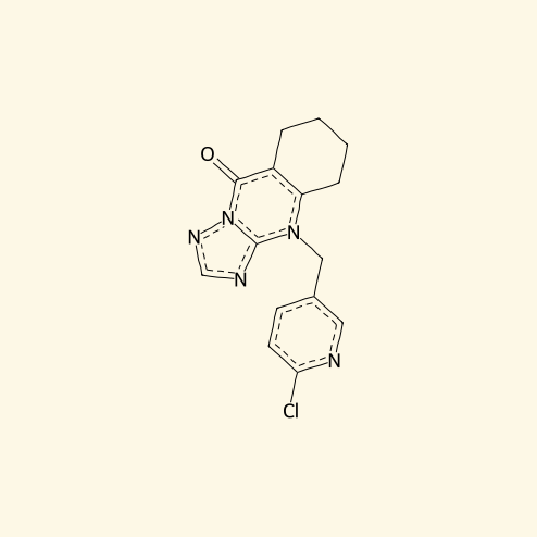 O=c1c2c(n(Cc3ccc(Cl)nc3)c3ncnn13)CCCC2